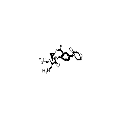 NC[C@@H](C(=O)Nc1ccc(N2CCOCC2=O)cc1C(F)F)N(CC(F)(F)F)C1CC1